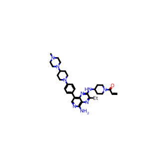 C=CC(=O)N1CCC(Nc2nc3c(-c4ccc(N5CCC(N6CCN(C)CC6)CC5)cc4)cnc(N)c3nc2CC)CC1